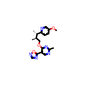 COc1ccc([C@@H](C)[C@H](C)COc2nc(C)ncc2-c2ncno2)nc1